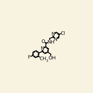 Cc1cc(F)ccc1-c1cc(CO)cc(C(=O)NCc2ncc(Cl)cn2)n1